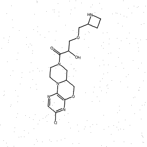 O=C(C(O)COCC1CCN1)N1CCN2c3ncc(Cl)nc3OCC2C1